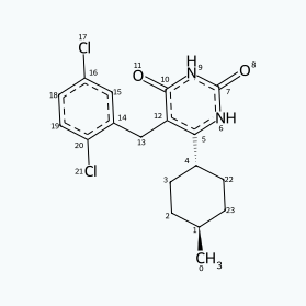 C[C@H]1CC[C@H](c2[nH]c(=O)[nH]c(=O)c2Cc2cc(Cl)ccc2Cl)CC1